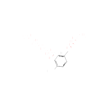 Cc1ccc(S(=O)(=O)O)cc1.O.O.O.O.O.O.O.O.O.O.O.O.O.O=S(=O)(O)O